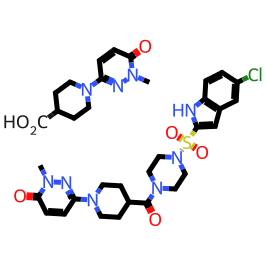 Cn1nc(N2CCC(C(=O)N3CCN(S(=O)(=O)c4cc5cc(Cl)ccc5[nH]4)CC3)CC2)ccc1=O.Cn1nc(N2CCC(C(=O)O)CC2)ccc1=O